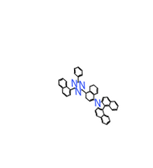 C1=CC2=C(CC1)C(c1nc(-c3ccccc3)nc(-c3cccc4ccccc34)n1)CC=C2n1c2ccc3ccccc3c2c2c3ccccc3ccc21